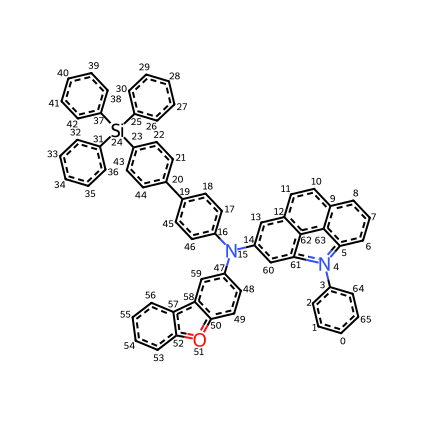 c1ccc(-n2c3cccc4ccc5cc(N(c6ccc(-c7ccc([Si](c8ccccc8)(c8ccccc8)c8ccccc8)cc7)cc6)c6ccc7oc8ccccc8c7c6)cc2c5c43)cc1